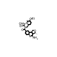 CCOc1ccc(CN(C(=O)c2ccc3nc(N)c4c(c3c2)CO[C@@H]4C)C(CC)OC)nn1